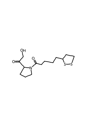 O=C(CO)C1CCCN1C(=O)CCCCC1CCSS1